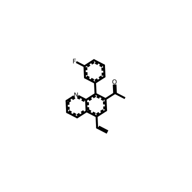 C=Cc1cc(C(C)=O)c(-c2cccc(F)c2)c2ncccc12